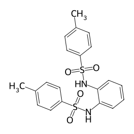 Cc1ccc(S(=O)(=O)Nc2ccccc2NS(=O)(=O)c2ccc(C)cc2)cc1